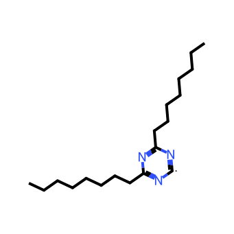 CCCCCCCCc1n[c]nc(CCCCCCCC)n1